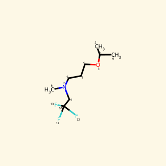 CC(C)OCCCN(C)CC(F)(F)F